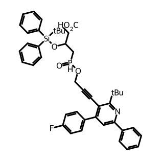 CC(C)(C)c1nc(-c2ccccc2)cc(-c2ccc(F)cc2)c1C#CCO[PH](=O)CC(CC(=O)O)O[Si](c1ccccc1)(c1ccccc1)C(C)(C)C